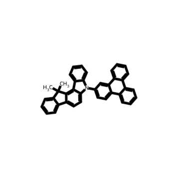 CC1(C)c2ccccc2-c2ccc3c(c21)c1ccccc1n3-c1ccc2c3ccccc3c3ccccc3c2c1